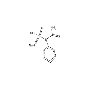 NC(=S)N(c1ccccc1)S(=O)(=O)O.[NaH]